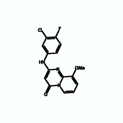 COc1cccn2c(=O)cc(Nc3ccc(F)c(Cl)c3)nc12